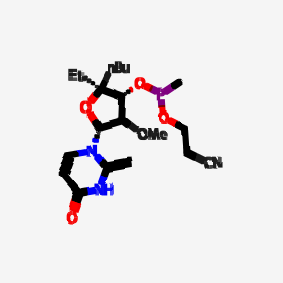 C=C1NC(=O)C=CN1[C@@H]1O[C@@](CC)(CCCC)[C@H](OP(C)OCCC#N)C1OC